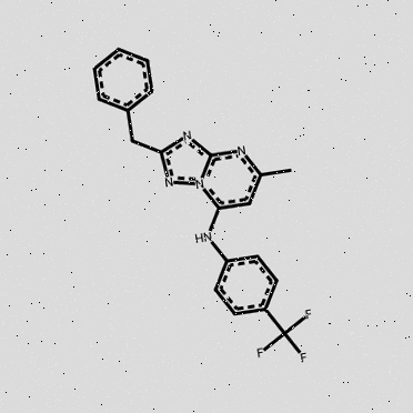 Cc1cc(Nc2ccc(C(F)(F)F)cc2)n2nc(Cc3ccccc3)nc2n1